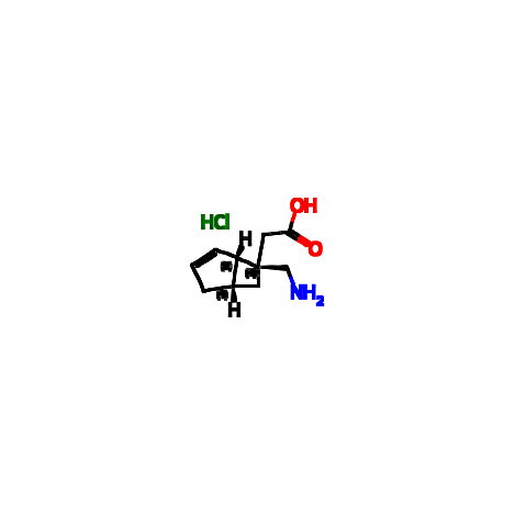 Cl.NC[C@@]1(CC(=O)O)C[C@@H]2CC=C[C@@H]21